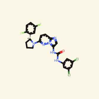 O=C(Nc1cc(Cl)cc(Cl)c1)Nc1cnc2ccc(N3CCC[C@@H]3c3cc(F)ccc3F)nn12